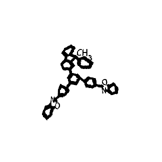 CC1(c2ccccc2)c2ccccc2-c2ccc(-c3cc(-c4ccc(-c5nc6ccccc6o5)cc4)cc(-c4ccc(-c5nc6ccccc6o5)cc4)c3)cc21